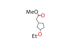 CCOC1CCC(CC(=O)OC)C1